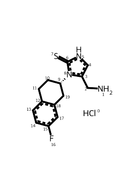 Cl.NCc1c[nH]c(=S)n1[C@H]1CCc2ccc(F)cc2C1